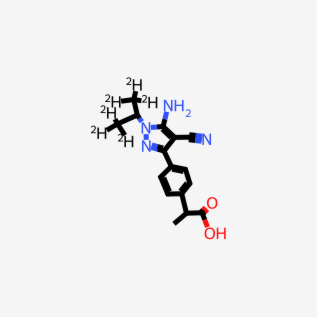 [2H]C([2H])([2H])C(n1nc(-c2ccc(C(C)C(=O)O)cc2)c(C#N)c1N)C([2H])([2H])[2H]